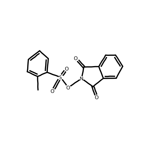 Cc1ccccc1S(=O)(=O)ON1C(=O)c2ccccc2C1=O